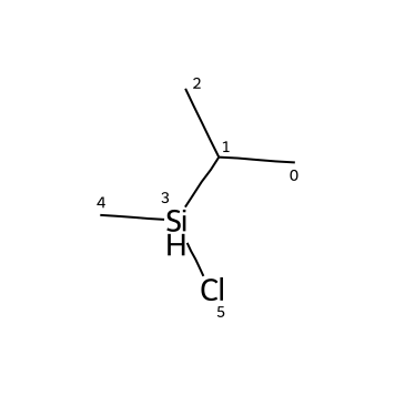 CC(C)[SiH](C)Cl